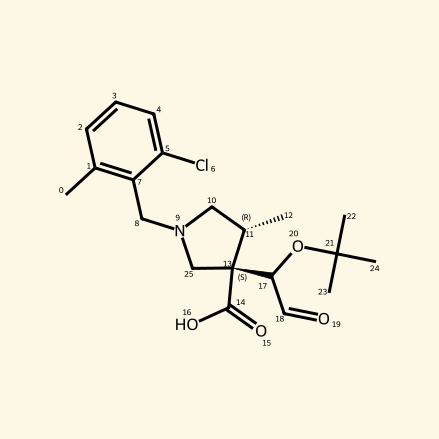 Cc1cccc(Cl)c1CN1C[C@H](C)[C@@](C(=O)O)(C(C=O)OC(C)(C)C)C1